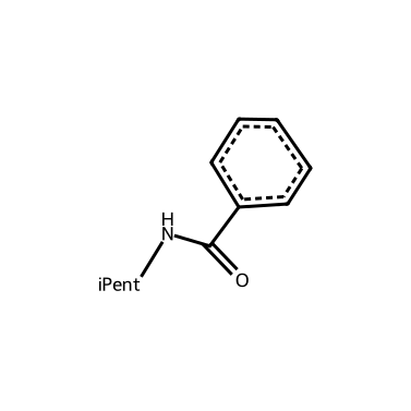 CCCC(C)NC(=O)c1ccccc1